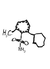 Cc1cccc(C2CCCCC2)c1S(N)(=O)=O